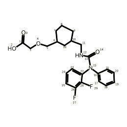 O=C(O)COCC1CCCC(CNC(=O)N(c2ccccc2)c2cccc(F)c2F)C1